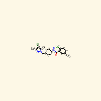 CCc1nn(CC2CCC(NC(=O)c3cc(C(F)(F)F)ccc3Cl)CC2)c(CC)c1Cl